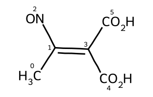 CC(N=O)=C(C(=O)O)C(=O)O